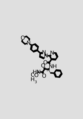 CONC(=O)C(=O)[C@@H](Cc1ccccc1)NC(=O)c1cccnc1-n1ccc(-c2ccc(N3CCOCC3)cc2)n1